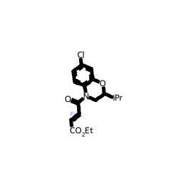 CCOC(=O)/C=C/C(=O)N1CC(C(C)C)Oc2cc(Cl)ccc21